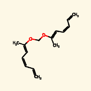 C=C/C=C\C=C(/C)OCO/C(C)=C/C=C\C=C